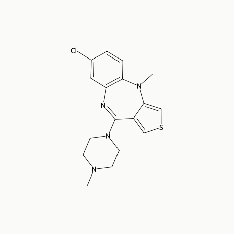 CN1CCN(C2=Nc3cc(Cl)ccc3N(C)c3cscc32)CC1